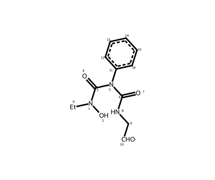 CCN(O)C(=O)N(C(=O)NC[C]=O)c1ccccc1